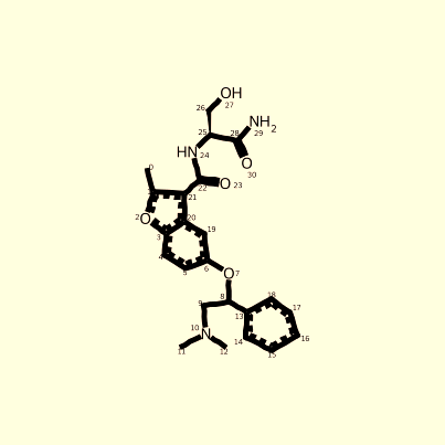 Cc1oc2ccc(OC(CN(C)C)c3ccccc3)cc2c1C(=O)N[C@@H](CO)C(N)=O